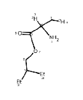 [2H]CC([2H])(N)C(=O)OCC(CC)CC